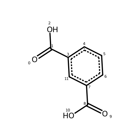 O=C(O)c1[c]ccc(C(=O)O)c1